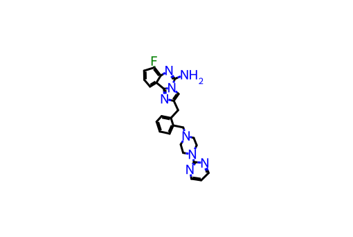 Nc1nc2c(F)cccc2c2nc(Cc3ccccc3CN3CCN(c4ncccn4)CC3)cn12